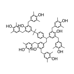 Cc1cc(Cc2cc(CC(c3ccc(C(C)(C)c4cc(Cc5cc(C)c(O)c(C)c5)c(O)c(Cc5cc(C)c(O)c(C)c5)c4)cc3)c3cc(Cc4cc(C)c(O)c(C)c4)c(O)c(Cc4cc(C)c(O)c(C)c4)c3)cc(Cc3cc(C)c(O)c(C)c3)c2O)cc(C)c1O